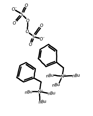 CCCC[N+](CCCC)(CCCC)Cc1ccccc1.CCCC[N+](CCCC)(CCCC)Cc1ccccc1.O=S(=O)([O-])OOS(=O)(=O)[O-]